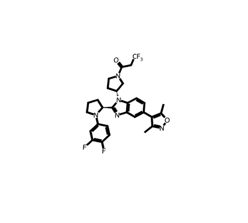 Cc1noc(C)c1-c1ccc2c(c1)nc([C@@H]1CCCN1c1ccc(F)c(F)c1)n2[C@@H]1CCN(C(=O)CC(F)(F)F)C1